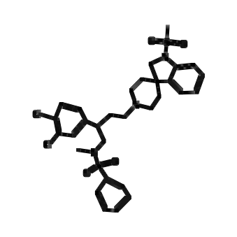 CN(CC(CCN1CCC2(CC1)CN(S(C)(=O)=O)c1ccccc12)c1ccc(Cl)c(Cl)c1)S(=O)(=O)c1ccccc1